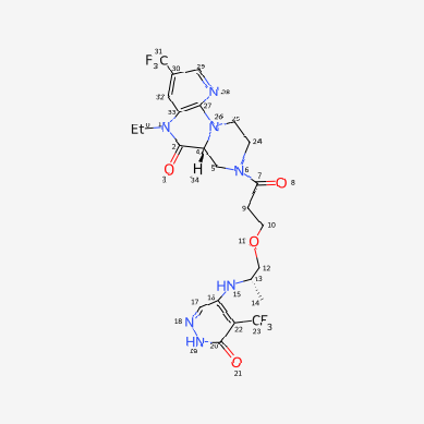 CCN1C(=O)[C@H]2CN(C(=O)CCOC[C@H](C)Nc3cn[nH]c(=O)c3C(F)(F)F)CCN2c2ncc(C(F)(F)F)cc21